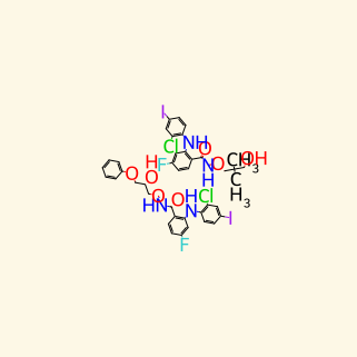 CC(C)(CO)CONC(=O)c1ccc(F)cc1Nc1ccc(I)cc1Cl.O=C(NOCC(O)COc1ccccc1)c1ccc(F)cc1Nc1ccc(I)cc1Cl